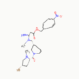 CN(C[C@@H]1CCN(C(=O)[C@@H]2C[C@H](S)CN2C)C1)C(=N)CC(=O)OCc1ccc([N+](=O)[O-])cc1